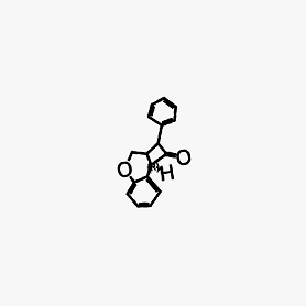 O=C1C(c2ccccc2)C2COc3ccccc3[C@H]12